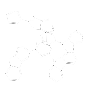 c1ccc(-c2nc3cccc(-c4nc(-c5ccc6sc7ccccc7c6c5)nc(-n5c6ccccc6c6ccc7c8ccccc8n(-c8ccccc8)c7c65)n4)c3s2)cc1